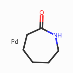 O=C1CCCCCN1.[Pd]